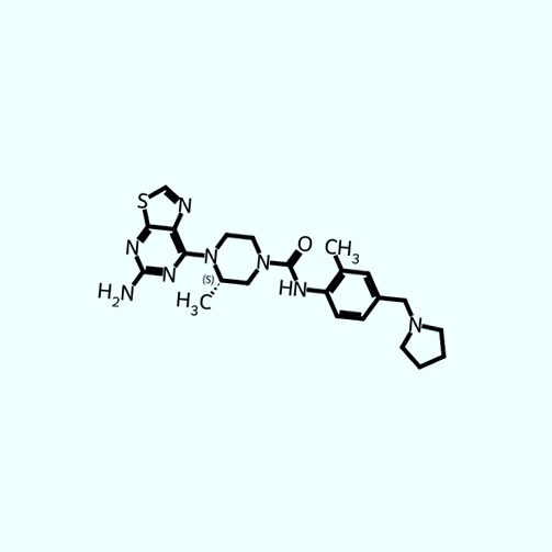 Cc1cc(CN2CCCC2)ccc1NC(=O)N1CCN(c2nc(N)nc3scnc23)[C@@H](C)C1